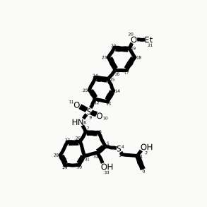 C=C(O)CSc1cc(NS(=O)(=O)c2ccc(-c3ccc(OCC)cc3)cc2)c2ccccc2c1O